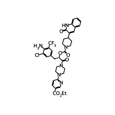 CCOC(=O)c1ccc(N2CCN(C(=O)[C@@H](Cc3cc(Cl)c(N)c(C(F)(F)F)c3)OC(=O)N3CCC(c4cc5ccccc5[nH]c4=O)CC3)CC2)nc1